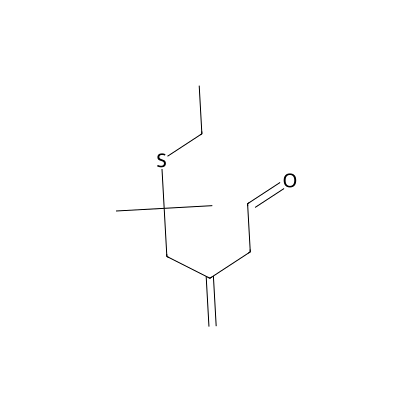 C=C(CC=O)CC(C)(C)SCC